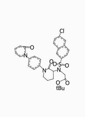 CC(C)(C)OC(=O)CN(C1CCCN(c2ccc(-n3ccccc3=O)cc2)C1=O)S(=O)(=O)c1ccc2cc(Cl)ccc2c1